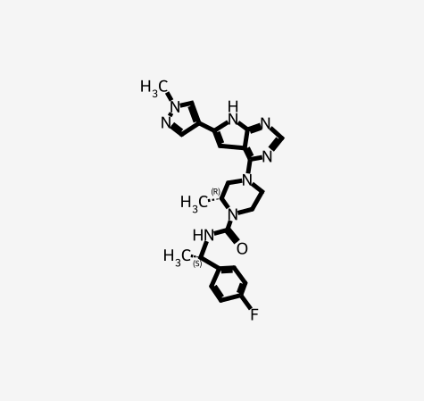 C[C@H](NC(=O)N1CCN(c2ncnc3[nH]c(-c4cnn(C)c4)cc23)C[C@H]1C)c1ccc(F)cc1